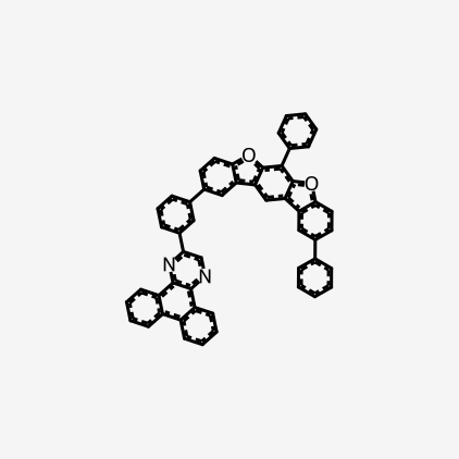 c1ccc(-c2ccc3oc4c(-c5ccccc5)c5oc6ccc(-c7cccc(-c8cnc9c%10ccccc%10c%10ccccc%10c9n8)c7)cc6c5cc4c3c2)cc1